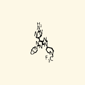 Nc1ncc(-c2nc(N3CCOCC3)nc3c2ncn3C2CCN(CC(F)(F)F)CC2)cn1